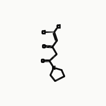 O=C(C=C(Cl)Cl)CC(=O)N1CCCC1